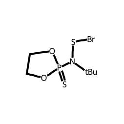 CC(C)(C)N(SBr)P1(=S)OCCO1